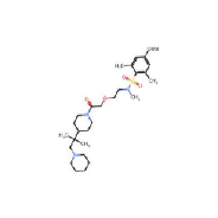 COc1cc(C)c(S(=O)(=O)N(C)CCOCC(=O)N2CCC(C(C)(C)CN3CCCCC3)CC2)c(C)c1